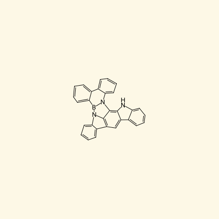 c1ccc2c(c1)B1N(c3ccccc3-2)c2c3[nH]c4ccccc4c3cc3c4ccccc4n1c23